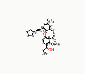 COc1c([C@@H](O)CC(C)C)ccc2c1C(=O)OCc1cc(C)cc(C#CC3CCCC3)c1O2